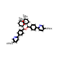 CCCCCCc1ccc(-c2ccc(C(OC(c3ccc(-c4ccc(CCCCCC)cn4)cc3)[C@H]3CC[C@H](CCCC)CC3)[C@H]3CC[C@H](CCCC)CC3)cc2)nc1